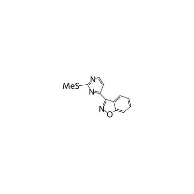 CSc1nccc(-c2noc3ccccc23)n1